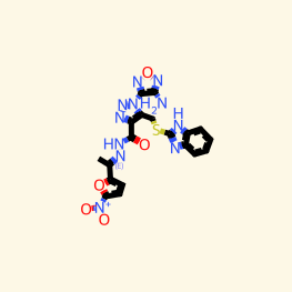 C/C(=N\NC(=O)c1nnn(-c2nonc2N)c1CSc1nc2ccccc2[nH]1)c1ccc([N+](=O)[O-])o1